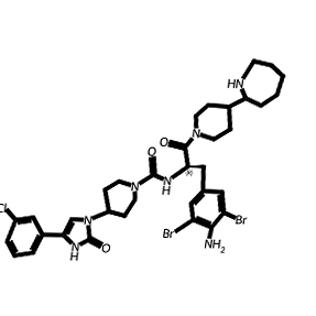 Nc1c(Br)cc(C[C@@H](NC(=O)N2CCC(n3cc(-c4cccc(Cl)c4)[nH]c3=O)CC2)C(=O)N2CCC(C3CCCCCN3)CC2)cc1Br